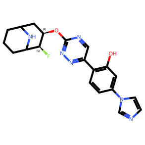 Oc1cc(-n2ccnc2)ccc1-c1cnc(O[C@@H]2CC3CCCC(N3)[C@@H]2F)nn1